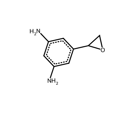 Nc1cc(N)cc(C2CO2)c1